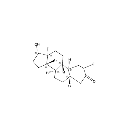 C[C@]12CC[C@H]3[C@@H](CC[C@H]4CC(=O)C(F)C[C@@H]43)[C@@H]1CC[C@@H]2O